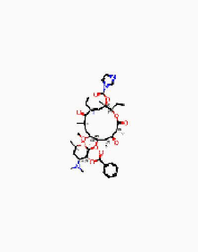 CC/C1=C\[C@](C)(OC(=O)n2ccnc2)[C@@H](CC)OC(=O)[C@H](C)C(=O)[C@H](C)[C@@H](OC2O[C@H](C)C[C@H](N(C)C)[C@H]2OC(=O)c2ccccc2)[C@@](C)(OC)C[C@@H](C)C1=O